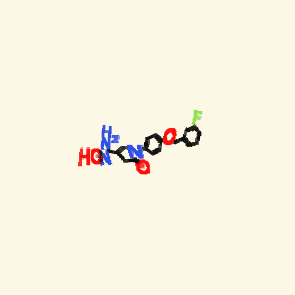 NC(=NO)C1CC(=O)N(c2ccc(OCc3cccc(F)c3)cc2)C1